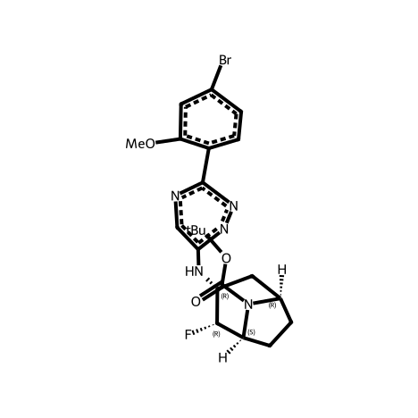 COc1cc(Br)ccc1-c1ncc(N[C@@H]2C[C@H]3CC[C@@H]([C@@H]2F)N3C(=O)OC(C)(C)C)nn1